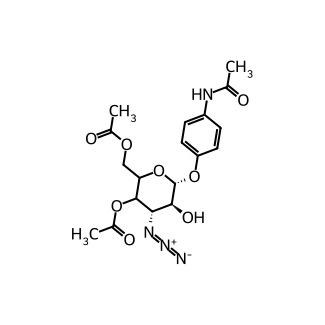 CC(=O)Nc1ccc(O[C@H]2OC(COC(C)=O)C(OC(C)=O)[C@@H](N=[N+]=[N-])[C@@H]2O)cc1